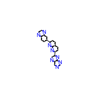 c1cnc2cc(-c3ccc4ccc(-c5cnc6cncnc6n5)nc4n3)ccc2n1